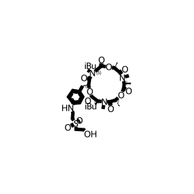 CCC(C)[C@H]1C(=O)O[C@H](Cc2ccc(NCCS(=O)(=O)CCO)cc2)C(=O)N(C)[C@@H](C(C)CC)C(=O)O[C@H](C)C(=O)N(C)[C@@H](C)C(=O)O[C@H](C)C(=O)N1C